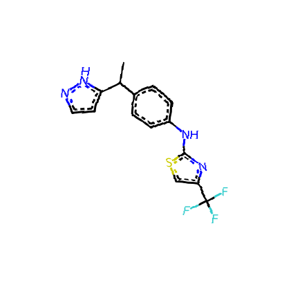 CC(c1ccc(Nc2nc(C(F)(F)F)cs2)cc1)c1ccn[nH]1